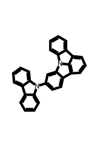 c1ccc2c(c1)c1ccccc1n2-c1ccc2c3cccc4c5ccccc5n(c2c1)c43